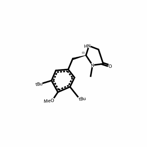 COc1c(C(C)(C)C)cc(C[C@H]2NCC(=O)N2C)cc1C(C)(C)C